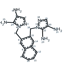 Nc1cnn(Cc2cc3ccccc3cc2Cn2ncc(N)c2N)c1N